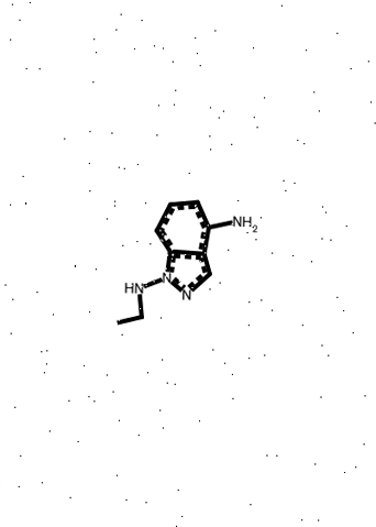 CCNn1ncc2c(N)cccc21